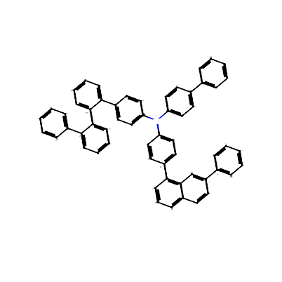 c1ccc(-c2ccc(N(c3ccc(-c4ccccc4-c4ccccc4-c4ccccc4)cc3)c3ccc(-c4cccc5ccc(-c6ccccc6)cc45)cc3)cc2)cc1